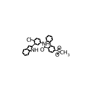 CS(=O)(=O)c1ccc(C(=O)Nc2ccc(Cl)c(-c3cc4ccccc4[nH]3)c2)c(-c2ccccc2)c1